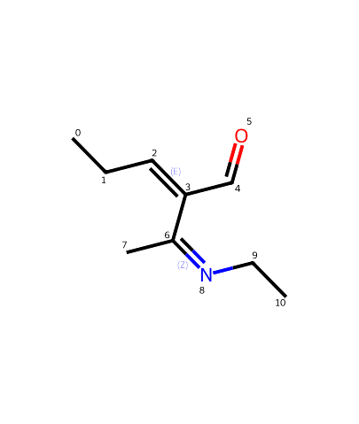 CC/C=C(C=O)\C(C)=N/CC